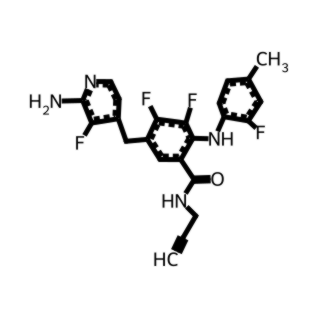 C#CCNC(=O)c1cc(Cc2ccnc(N)c2F)c(F)c(F)c1Nc1ccc(C)cc1F